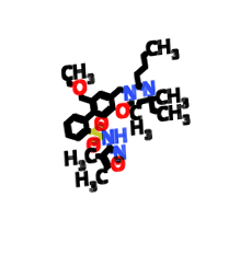 CCCC/C(=N/C(C)(CC)CC)N(C=O)Cc1ccc(-c2ccccc2S(=O)(=O)Nc2noc(C)c2C)c(COCC)c1